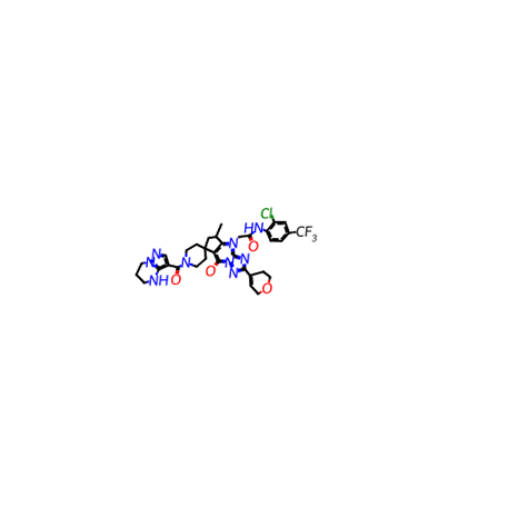 CC1CC2(CCN(C(=O)c3cnn4c3NCCC4)CC2)c2c1n(CC(=O)Nc1ccc(C(F)(F)F)cc1Cl)c1nc(C3=CCOCC3)nn1c2=O